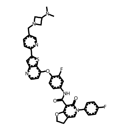 CN(C)C1CN(Cc2ccc(-c3cc4nccc(Oc5ccc(NC(=O)c6c7c(cn(-c8ccc(F)cc8)c6=O)CCO7)cc5F)c4s3)nc2)C1